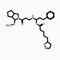 O=COC1C2CCCC2CN1C(=O)CCNC(CCc1ccccc1)OC(=O)CCCCC1CCSS1